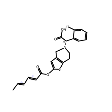 C/C=C/C=C/C(=O)Oc1cc2c(s1)CCN([C@H](C(=O)O)c1ccccc1Cl)C2